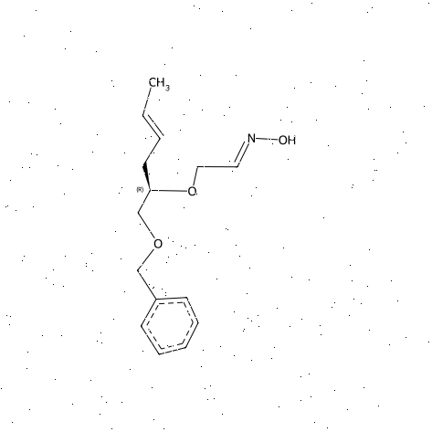 CC=CC[C@H](COCc1ccccc1)OCC=NO